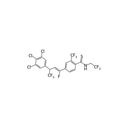 F/C(=C\C(c1cc(Cl)c(Cl)c(Cl)c1)C(F)(F)F)c1ccc(C(=S)NCC(F)(F)F)c(C(F)(F)F)c1